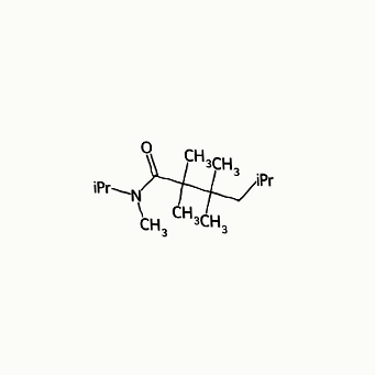 CC(C)CC(C)(C)C(C)(C)C(=O)N(C)C(C)C